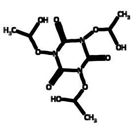 CC(O)On1c(=O)n(OC(C)O)c(=O)n(OC(C)O)c1=O